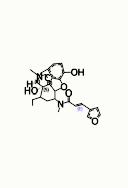 CCC1CC(N(C)C(=O)/C=C/c2ccoc2)C2Oc3c(O)ccc4c3[C@@]23CCN(C)[C@H](C4)[C@]13O